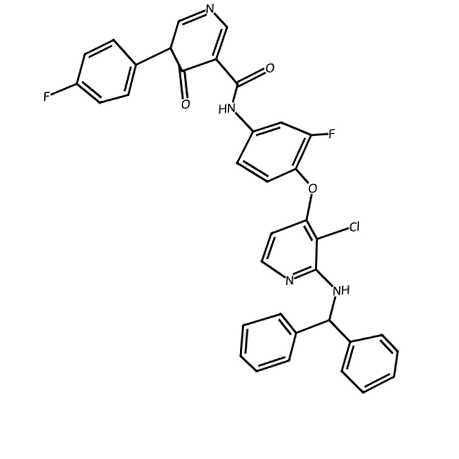 O=C(Nc1ccc(Oc2ccnc(NC(c3ccccc3)c3ccccc3)c2Cl)c(F)c1)C1=CN=CC(c2ccc(F)cc2)C1=O